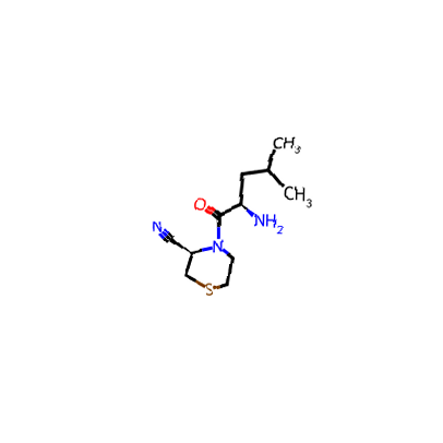 CC(C)C[C@@H](N)C(=O)N1CCSC[C@H]1C#N